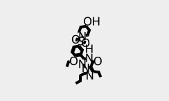 CCCc1nc(CC)c2c(=O)[nH]c(-c3cc(S(=O)(=O)N4CCC(O)CC4)ccc3OCC)nn12